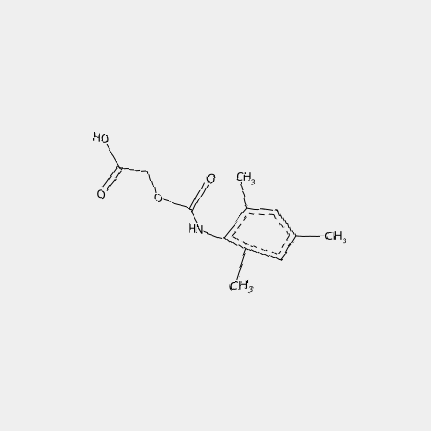 Cc1cc(C)c(NC(=O)OCC(=O)O)c(C)c1